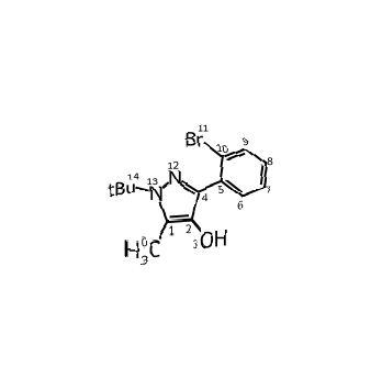 Cc1c(O)c(-c2ccccc2Br)nn1C(C)(C)C